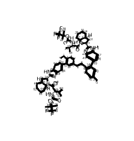 CCc1ccc(CCc2ccc(C)cc2-c2ccc3[nH]c([C@@H]4C[C@@H]5CCCC[C@@H]5N4C(=O)[C@@H](NC(=O)OC(C)(C)C(F)(F)F)C(C)C)nc3c2)cc1-c1ccc2[nH]c([C@@H]3C[C@@H]4CCCC[C@@H]4N3C(=O)[C@@H](NC(=O)OC(C)(C)C(F)(F)F)C(C)C)nc2c1